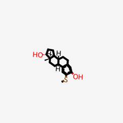 CSc1cc2c(cc1O)CC[C@@H]1[C@@H]2CC[C@]2(C)[C@H](O)CC[C@@H]12